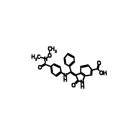 CON(C)C(=O)c1ccc(N/C(=C2\C(=O)Nc3cc(C(=O)O)ccc32)c2ccccc2)cc1